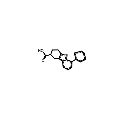 O=C(O)C1CCc2[nH]c3c(-c4ccccc4)cccc3c2C1